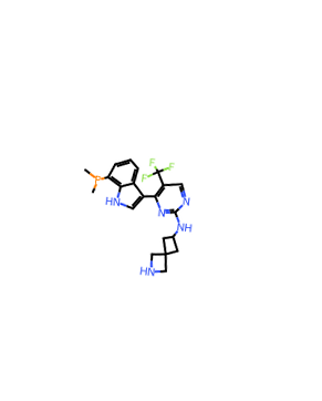 CP(C)c1cccc2c(-c3nc(NC4CC5(CNC5)C4)ncc3C(F)(F)F)c[nH]c12